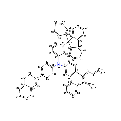 C=C/C=C(\C=C)c1ccc(N(C2=CC=C(C3=Cc4ccccc4CC3)CC2)c2ccc3c(c2)C2(c4ccccc4-c4ccccc42)c2ccccc2-3)cc1-c1ccccc1